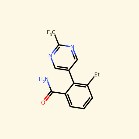 CCc1cccc(C(N)=O)c1-c1cnc(C(F)(F)F)nc1